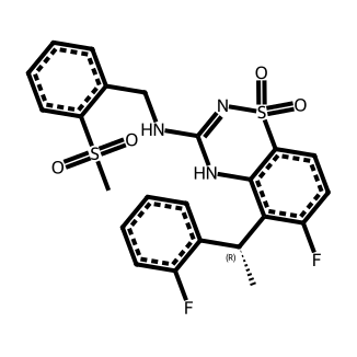 C[C@H](c1ccccc1F)c1c(F)ccc2c1NC(NCc1ccccc1S(C)(=O)=O)=NS2(=O)=O